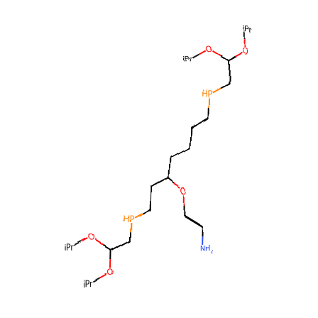 CC(C)OC(CPCCCCC(CCPCC(OC(C)C)OC(C)C)OCCN)OC(C)C